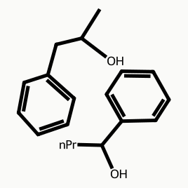 CC(O)Cc1ccccc1.CCCC(O)c1ccccc1